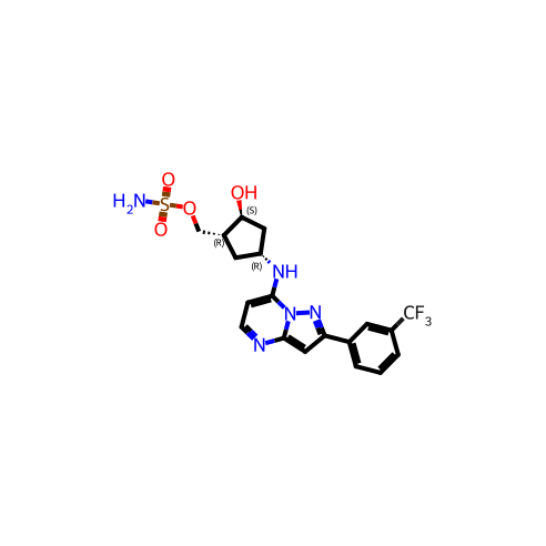 NS(=O)(=O)OC[C@H]1C[C@@H](Nc2ccnc3cc(-c4cccc(C(F)(F)F)c4)nn23)C[C@@H]1O